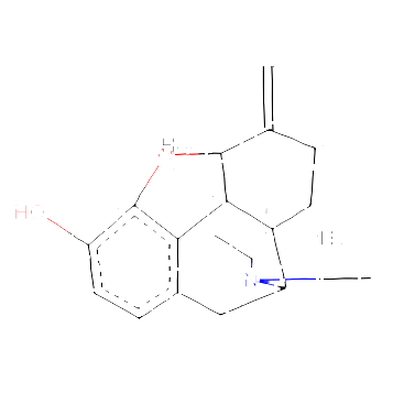 C=C1CC[C@H]2C3Cc4ccc(O)c5c4[C@@]2(CCN3C)[C@H]1O5